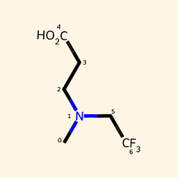 CN(CCC(=O)O)CC(F)(F)F